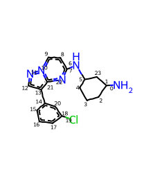 NC1CCCC(Nc2ccn3ncc(-c4cccc(Cl)c4)c3n2)C1